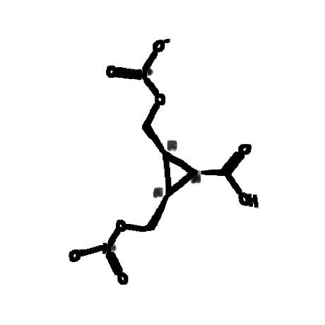 O=C(O)[C@H]1[C@H](CO[N+](=O)[O-])[C@@H]1CO[N+](=O)[O-]